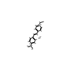 CC[n+]1ccc(/C=C/c2ccc(N(C)C)cc2)cc1.[I-]